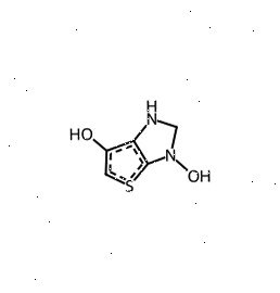 Oc1csc2c1NCN2O